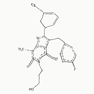 Cn1c(=O)n(CCCO)c(=O)c2c1nc(C1C=CC=C(Cl)C1)n2Cc1ccc(F)cc1